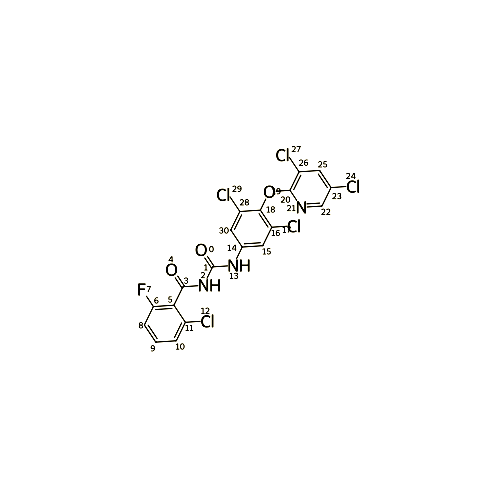 O=C(NC(=O)c1c(F)cccc1Cl)Nc1cc(Cl)c(Oc2ncc(Cl)cc2Cl)c(Cl)c1